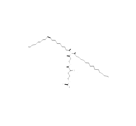 CCCCCCCC/C=C\CCCCCCCC(=O)N(C(=O)CCCCCCCCCCCCCCC)C(=O)CCNC(=O)C(N)CCCNC(=N)N